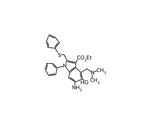 CCOC(=O)c1c(CSc2ccccc2)n(-c2ccccc2)c2cc(N)c(O)c(CN(C)C)c12